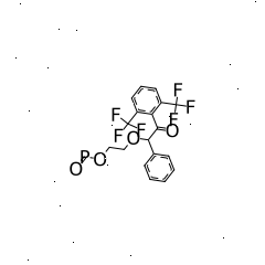 O=POCCOC(C(=O)c1c(C(F)(F)F)cccc1C(F)(F)F)c1ccccc1